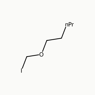 CCCCCOCI